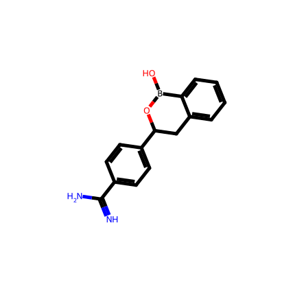 N=C(N)c1ccc(C2Cc3ccccc3B(O)O2)cc1